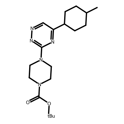 CC1CCC(c2cnnc(N3CCN(C(=O)OC(C)(C)C)CC3)n2)CC1